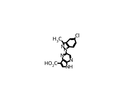 Cc1nn(-c2cnc3[nH]cc(C(=O)O)c3n2)c2ccc(Cl)cc12